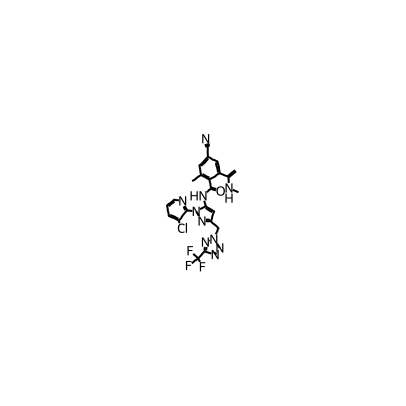 C=C(NC)c1cc(C#N)cc(C)c1C(=O)Nc1cc(Cn2nnc(C(F)(F)F)n2)nn1-c1ncccc1Cl